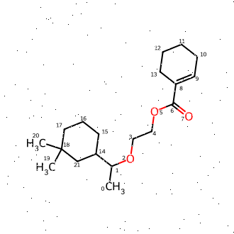 CC(OCCOC(=O)C1=CCCCC1)C1CCCC(C)(C)C1